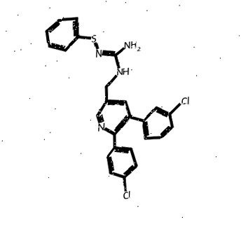 N/C(=N\Sc1ccccc1)NCc1cnc(-c2ccc(Cl)cc2)c(-c2cccc(Cl)c2)c1